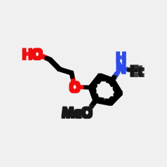 CCNc1ccc(OC)c(OCCCO)c1